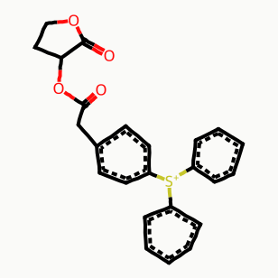 O=C(Cc1ccc([S+](c2ccccc2)c2ccccc2)cc1)OC1CCOC1=O